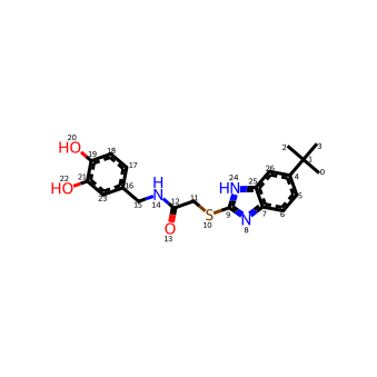 CC(C)(C)c1ccc2nc(SCC(=O)NCc3ccc(O)c(O)c3)[nH]c2c1